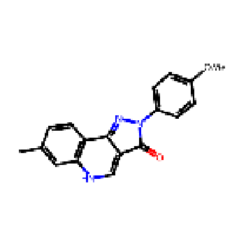 COc1ccc(-n2nc3c4ccc(C)cc4[nH]cc-3c2=O)cc1